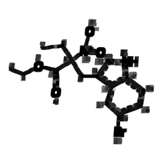 CCOC(=O)C(CC)(Cc1c[nH]c2ccc(Br)cc12)[N+](=O)[O-]